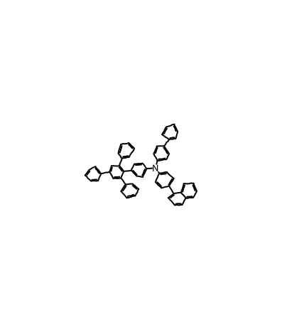 c1ccc(-c2ccc(N(c3ccc(-c4c(-c5ccccc5)cc(-c5ccccc5)cc4-c4ccccc4)cc3)c3ccc(-c4cccc5ccccc45)cc3)cc2)cc1